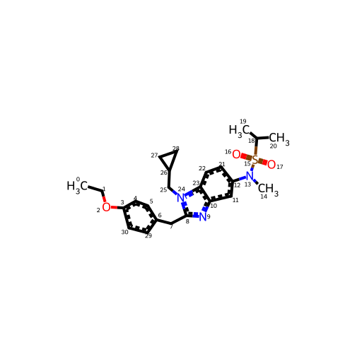 CCOc1ccc(Cc2nc3cc(N(C)S(=O)(=O)C(C)C)ccc3n2CC2CC2)cc1